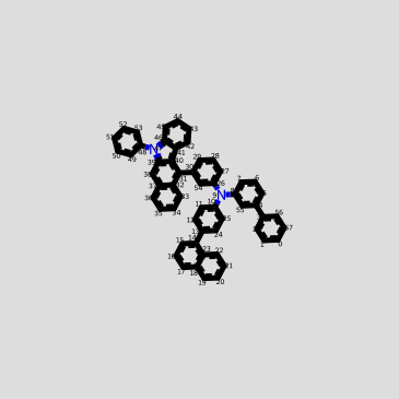 c1ccc(-c2cccc(N(c3ccc(-c4cccc5ccccc45)cc3)c3cccc(-c4c5ccccc5cc5c4c4ccccc4n5-c4ccccc4)c3)c2)cc1